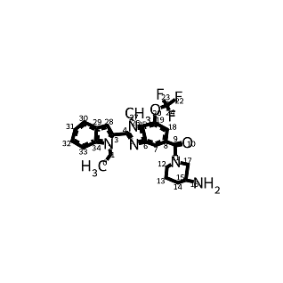 CCn1c(-c2nc3cc(C(=O)N4CCCC(N)C4)cc(OC(F)(F)F)c3n2C)cc2ccccc21